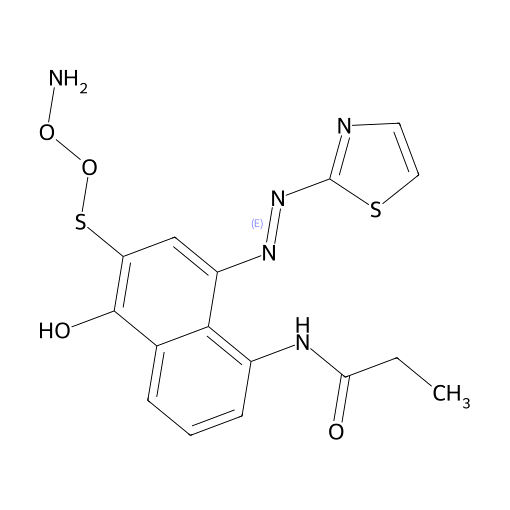 CCC(=O)Nc1cccc2c(O)c(SOON)cc(/N=N/c3nccs3)c12